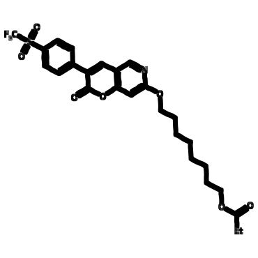 CCC(=O)OCCCCCCCCOc1cc2oc(=O)c(-c3ccc(S(=O)(=O)C(F)(F)F)cc3)cc2cn1